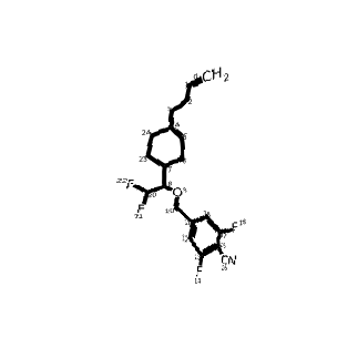 C=CCCC1CCC(C(OCc2cc(F)c(C#N)c(F)c2)C(F)F)CC1